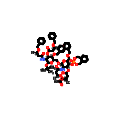 CCC(=O)O[C@H](CC)CC(=O)NC1[C@H](OCC2OC(O[Si](C)(C)C(C)(C)C)C(NC(=O)C[C@@H](CC)OCc3ccccc3)[C@@H](OC(=O)C[C@@H](CC)OCc3ccccc3)[C@@H]2OCc2ccccc2)OC(COCc2ccccc2)[C@@H](OP2(=O)OCc3ccccc3CO2)[C@@H]1OC(=O)C[C@@H](CC)OC(=O)CC